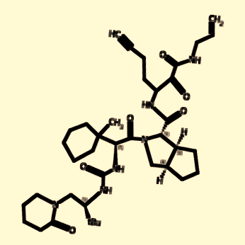 C#CCCC(NC(=O)[C@@H]1[C@H]2CCC[C@H]2CN1C(=O)[C@@H](NC(=O)N[C@H](CN1CCCCC1=O)C(C)(C)C)C1(C)CCCCC1)C(=O)C(=O)NCC=C